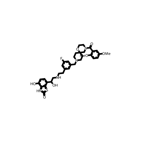 COc1ccc(OC)c(C(=O)N2CCOC3(CCN(Cc4cc(F)cc(CCNCC(O)c5ccc(O)c6[nH]c(=O)sc56)c4)CC3)C2)c1